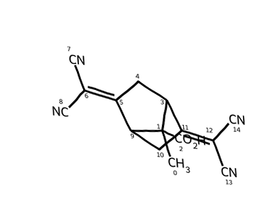 CC1(C(=O)O)C2CC(=C(C#N)C#N)C1CC2=C(C#N)C#N